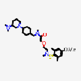 COc1cc(C)c(SN(C)CCOCC(=O)N(C)CC2CCC(N3CCCC(N(C)C)C3)CC2)c(C)c1